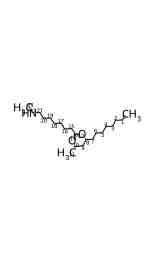 CCCCCCCCC(CCC)OC(=O)CCCCCCCNC